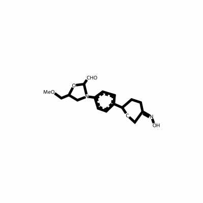 COCC1CN(c2ccc(C3CCC(=NO)CC3)cc2)C(C=O)O1